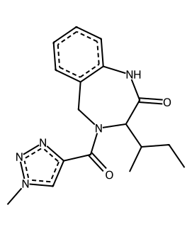 CCC(C)C1C(=O)Nc2ccccc2CN1C(=O)c1cn(C)nn1